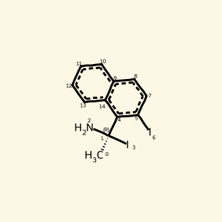 C[C@@](N)(I)c1c(I)ccc2ccccc12